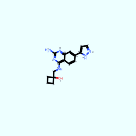 Nc1nc(NCC2(O)CCC2)c2ccc(-c3ccn[nH]3)cc2n1